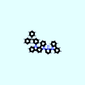 C1=CC(n2c3ccccc3c3c4c(ccc32)c2ccccc2n4-c2cccc(B(c3ccccc3)c3ccccc3)c2)NC(n2c3ccccc3c3ccccc32)=C1